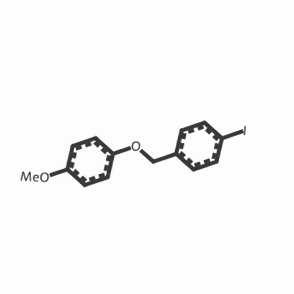 COc1ccc(OCc2ccc(I)cc2)cc1